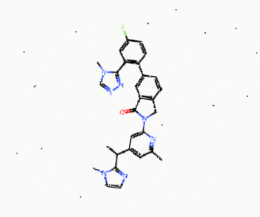 Cc1cc(C(C)c2nccn2C)cc(N2Cc3ccc(-c4ccc(F)cc4-c4nncn4C)cc3C2=O)n1